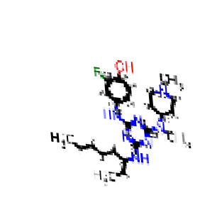 CCCCCC(CC)Nc1nc(Nc2ccc(O)c(F)c2)nc(N(C)C2CCN(C)CC2)n1